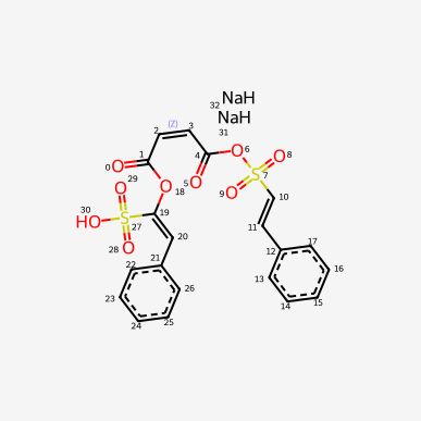 O=C(/C=C\C(=O)OS(=O)(=O)C=Cc1ccccc1)OC(=Cc1ccccc1)S(=O)(=O)O.[NaH].[NaH]